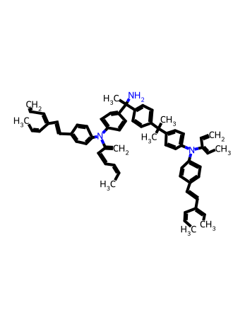 C=C/C=C(\C=C/C)/C=C/c1ccc(N(C(=C)/C=C\C=C/C)c2ccc(C(C)(N)c3ccc(C(C)(C)c4ccc(N(/C(C=C)=C/C)c5ccc(/C=C/C(/C=C\C)=C/C)cc5)cc4)cc3)cc2)cc1